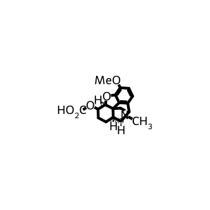 COc1ccc2c3c1O[C@@H]1C(OC(=O)O)CC[C@@H]4[C@H](C2)N(C)CCC314